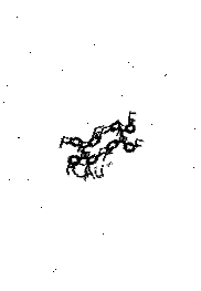 Fc1cccc(P(CCP(c2cccc(F)c2)c2cccc(F)c2)c2cccc(F)c2)c1.Fc1cccc(P(CCP(c2cccc(F)c2)c2cccc(F)c2)c2cccc(F)c2)c1.[Au+].[Cl-]